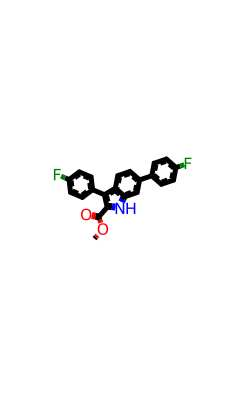 COC(=O)c1[nH]c2cc(-c3ccc(F)cc3)ccc2c1-c1ccc(F)cc1